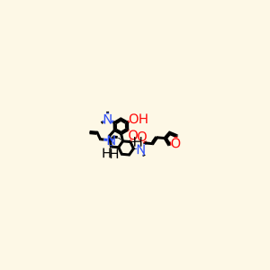 C=CCN1CC[C@]23c4c5c(N(C)C)cc(O)c4O[C@H]2[C@H](N(C)C(=O)/C=C/c2ccoc2)CC[C@H]3[C@H]1C5